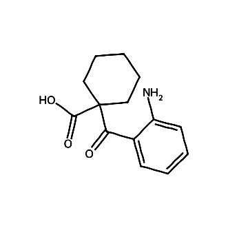 Nc1ccccc1C(=O)C1(C(=O)O)CCCCC1